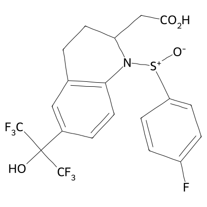 O=C(O)CC1CCc2cc(C(O)(C(F)(F)F)C(F)(F)F)ccc2N1[S+]([O-])c1ccc(F)cc1